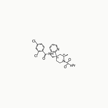 CCCS(=O)(=O)N1CC[C@](CNC(=O)c2ccc(Cl)cc2Cl)(c2ccccn2)C[C@H]1C